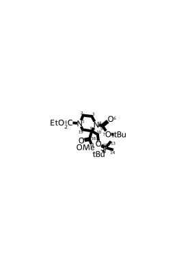 CCOC(=O)N1CCN(C(=O)OC(C)(C)C)C(CO[Si](C)(C)C(C)(C)C)(C(=O)OC)C1